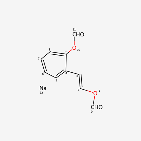 O=COC=Cc1ccccc1OC=O.[Na]